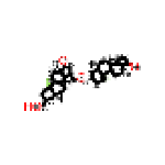 C[C@]12CCC3[C@@H](CC[C@@H]4C[C@@H](COCC5CC(=O)[C@@]6(C)CCC7[C@@H](CC[C@@H]8CC(CO)CC[C@]78F)C56)CC[C@]34F)C1CCC2=O